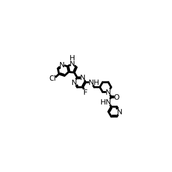 O=C(Nc1cccnc1)N1CCCC(CNc2nc(-c3c[nH]c4ncc(Cl)cc34)ncc2F)C1